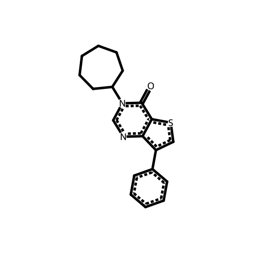 O=c1c2scc(-c3ccccc3)c2ncn1C1CCCCCC1